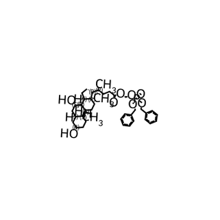 C[C@H](CCC(=O)OCOP(=O)(OCc1ccccc1)OCc1ccccc1)[C@H]1CC[C@H]2[C@@H]3[C@@H](O)C[C@@H]4C[C@H](O)CC[C@]4(C)[C@H]3CC[C@]12C